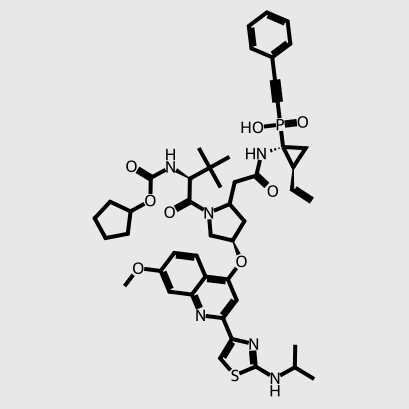 C=C[C@@H]1C[C@]1(NC(=O)CC1C[C@@H](Oc2cc(-c3csc(NC(C)C)n3)nc3cc(OC)ccc23)CN1C(=O)[C@@H](NC(=O)OC1CCCC1)C(C)(C)C)P(=O)(O)C#Cc1ccccc1